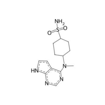 CN(c1ncnc2[nH]ccc12)C1CCC(S(N)(=O)=O)CC1